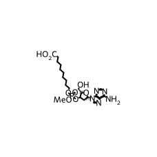 COP(=O)(OCCCCCCCCCC(=O)O)OC1C[C@H](n2cnc3c(N)ncnc32)O[C@@H]1CO